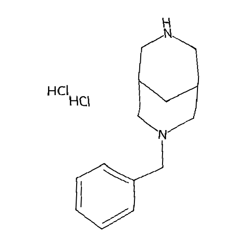 Cl.Cl.c1ccc(CN2CC3CNCC(C3)C2)cc1